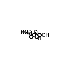 CC12CC(=O)C3C(CC[C@H]4C[C@H](O)CCC34C)C1CCCC2C(=O)CN=[N+]=[N-]